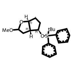 COC1C[C@@H]2[C@H]([CH]C[C@H]2O[Si](c2ccccc2)(c2ccccc2)C(C)(C)C)O1